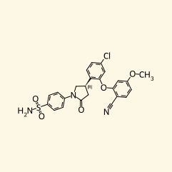 COc1ccc(C#N)c(Oc2cc(Cl)ccc2[C@H]2CC(=O)N(c3ccc(S(N)(=O)=O)cc3)C2)c1